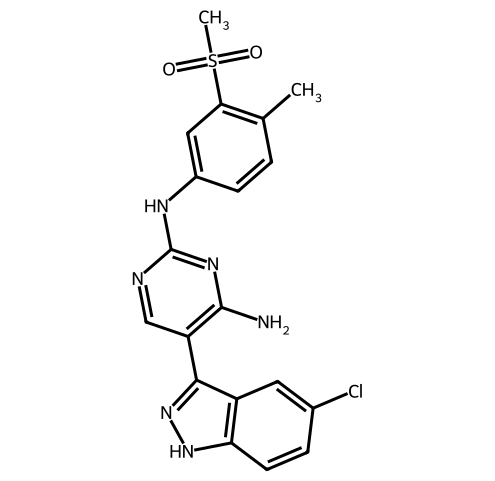 Cc1ccc(Nc2ncc(-c3n[nH]c4ccc(Cl)cc34)c(N)n2)cc1S(C)(=O)=O